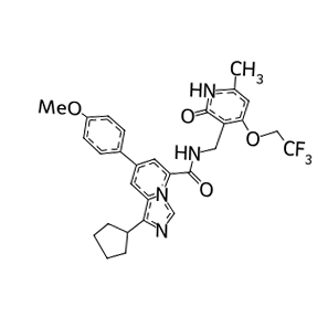 COc1ccc(-c2cc(C(=O)NCc3c(OCC(F)(F)F)cc(C)[nH]c3=O)n3cnc(C4CCCC4)c3c2)cc1